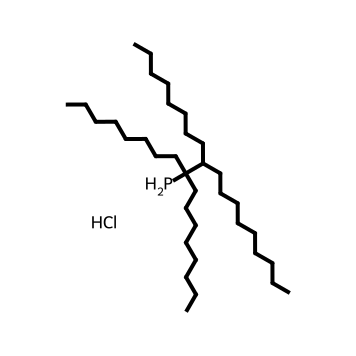 CCCCCCCCCC(CCCCCCCC)C(P)(CCCCCCCC)CCCCCCCC.Cl